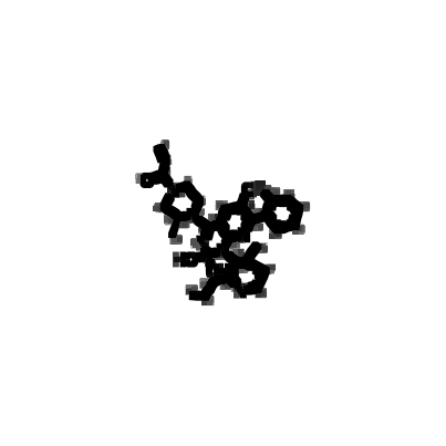 C=CC(=O)N1CCN(C2=NS(O)(O)N(c3c(C)ccnc3CCC)c3nc(-c4ccccc4F)c(Cl)cc32)[C@@H](C)C1